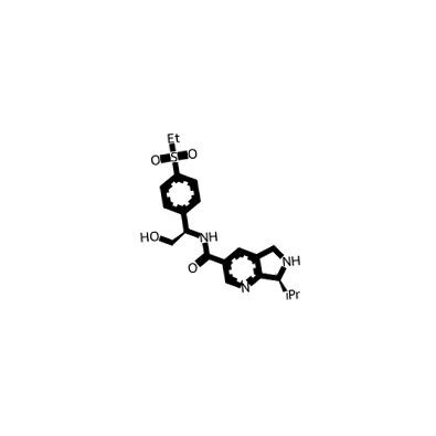 CCS(=O)(=O)c1ccc([C@H](CO)NC(=O)c2cnc3c(c2)CN[C@H]3C(C)C)cc1